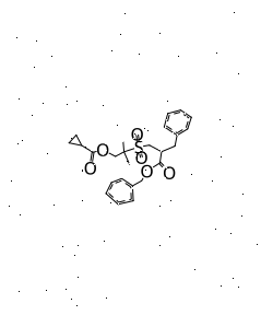 CC(C)(COC(=O)C1CC1)S(=O)(=O)CC(Cc1ccccc1)C(=O)OCc1ccccc1